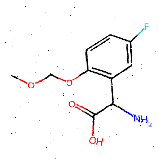 COCOc1ccc(F)cc1C(N)C(=O)O